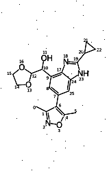 Cc1noc(C)c1-c1cc(C(O)C2OCCO2)c2nc(C3CC3)[nH]c2c1